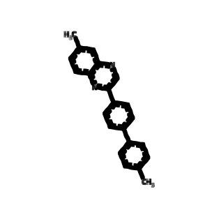 Cc1ccc(-c2ccc(-c3cnc4cc(C)ccc4n3)cc2)cc1